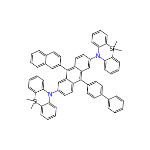 C[Si]1(C)c2ccccc2N(c2ccc3c(-c4ccc5ccccc5c4)c4cc(N5c6ccccc6[Si](C)(C)c6ccccc65)ccc4c(-c4ccc(-c5ccccc5)cc4)c3c2)c2ccccc21